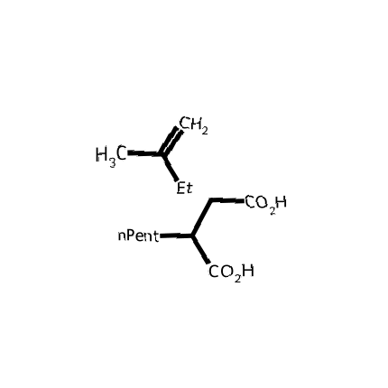 C=C(C)CC.CCCCCC(CC(=O)O)C(=O)O